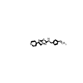 COc1ccc(CNc2nn3cc(-c4ccncc4)nc3s2)cc1